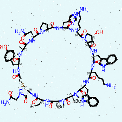 CCCC[C@H]1C(=O)N(C)[C@@H](CCCC)C(=O)N[C@@H](CC(C)C)C(=O)N[C@H](C(=O)NCC(N)=O)CSCC(=O)N[C@@H](Cc2ccc(O)cc2)C(=O)N(C)[C@@H](C)C(=O)N[C@@H](CC(N)=O)C(=O)N2CCC[C@H]2C(=O)N[C@@H](Cc2c[nH]cn2)C(=O)N[C@@H](CCCCN)C(=O)N2C[C@H](O)C[C@H]2C(=O)N[C@@H](Cc2c[nH]c3ccccc23)C(=O)N[C@@H](CCCCN)C(=O)N[C@@H](Cc2c[nH]c3ccccc23)C(=O)N1C